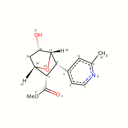 COC(=O)[C@H]1[C@@H](c2ccnc(C)c2)[C@@H]2O[C@H]1C[C@@H]2O